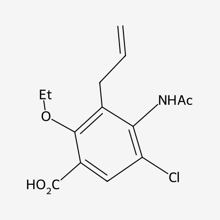 C=CCc1c(NC(C)=O)c(Cl)cc(C(=O)O)c1OCC